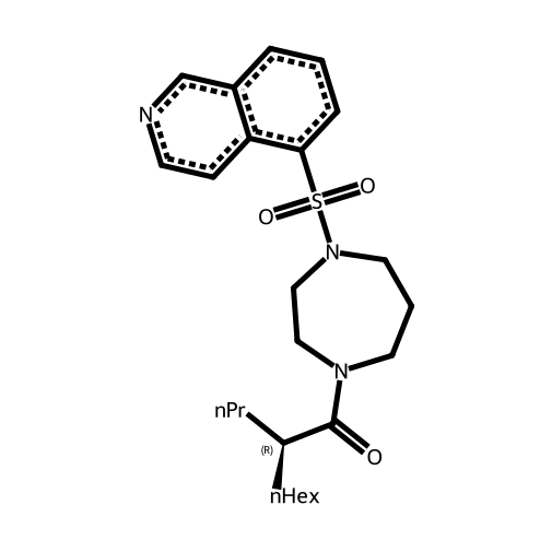 CCCCCC[C@@H](CCC)C(=O)N1CCCN(S(=O)(=O)c2cccc3cnccc23)CC1